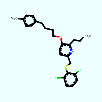 COc1ccc(CCCCOc2ccc(CSc3c(Cl)cccc3Cl)nc2CCC(=O)O)cc1